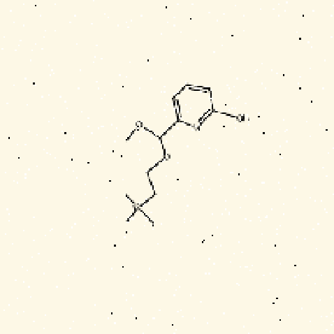 COC(OCC[Si](C)(C)C)c1cccc(O)n1